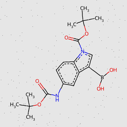 CC(C)(C)OC(=O)Nc1ccc2c(c1)c(B(O)O)cn2C(=O)OC(C)(C)C